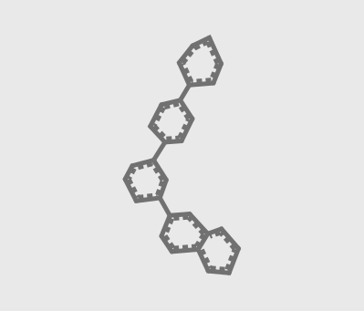 c1ccc(-c2ccc(-c3cccc(-c4ccc5ccccc5c4)c3)cc2)cc1